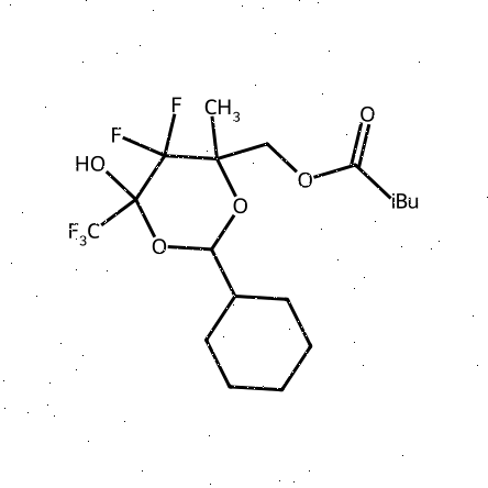 CCC(C)C(=O)OCC1(C)OC(C2CCCCC2)OC(O)(C(F)(F)F)C1(F)F